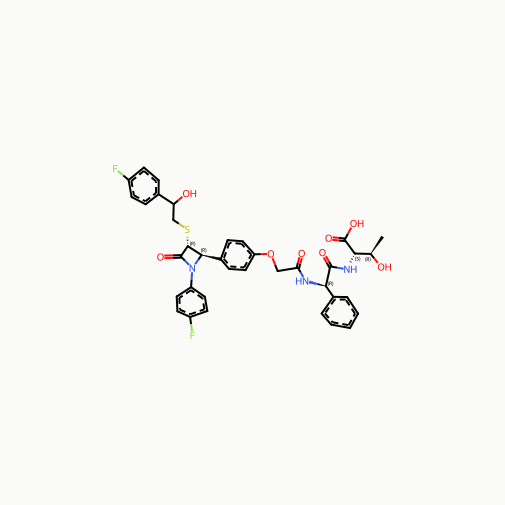 C[C@@H](O)[C@H](NC(=O)[C@H](NC(=O)COc1ccc([C@@H]2[C@@H](SCC(O)c3ccc(F)cc3)C(=O)N2c2ccc(F)cc2)cc1)c1ccccc1)C(=O)O